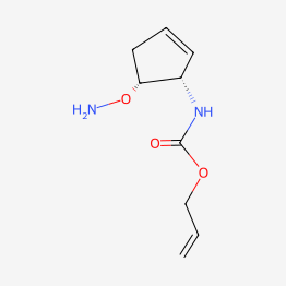 C=CCOC(=O)N[C@H]1C=CC[C@H]1ON